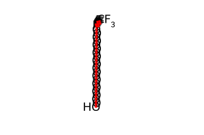 OCCOCCOCCOCCOCCOCCOCCOCCOCCOCCOCCOCCOCCOCCOCCOCCOCCOCCOCCOCCOCCC(F)(F)C(F)(F)C(F)(F)C(F)(F)C(F)(F)C(F)(F)F